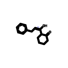 O=C1CCCCC1/C(O)=C\Cc1ccccc1